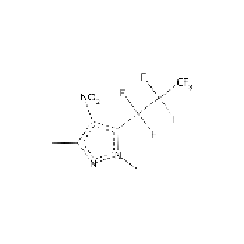 Cc1nn(C)c(C(F)(F)C(F)(F)C(F)(F)F)c1[N+](=O)[O-]